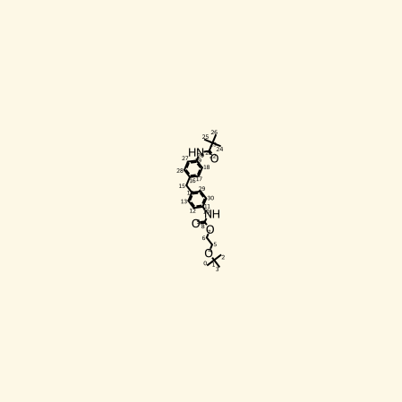 CC(C)(C)OCCOC(=O)Nc1ccc(Cc2ccc(NC(=O)C(C)(C)C)cc2)cc1